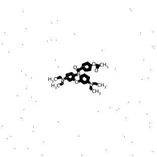 CCN(CC)c1ccc2c(c1)Oc1cc(N(CC)CC)ccc1N2C(=O)c1ccc(OC(C)=O)cc1